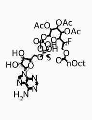 CCCCCCCCC(=O)OC[C@H](F)C1OC(OP(=O)(O)OP(O)(=S)OC[C@H]2O[C@@H](n3cnc4c(N)ncnc43)[C@H](O)[C@H]2O)C(OC(C)=O)C(OC(C)=O)C1OC(C)=O